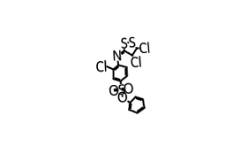 O=S(=O)(Oc1ccccc1)c1ccc(N=C2SSC(Cl)C2Cl)c(Cl)c1